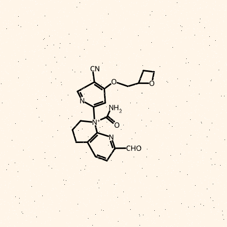 N#Cc1cnc([N+]2(C(N)=O)CCCc3ccc(C=O)nc32)cc1OCC1CCO1